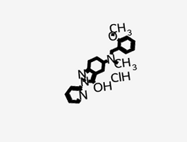 COc1ccccc1CN(C)C1CCc2nn(-c3ccccn3)c(O)c2C1.Cl